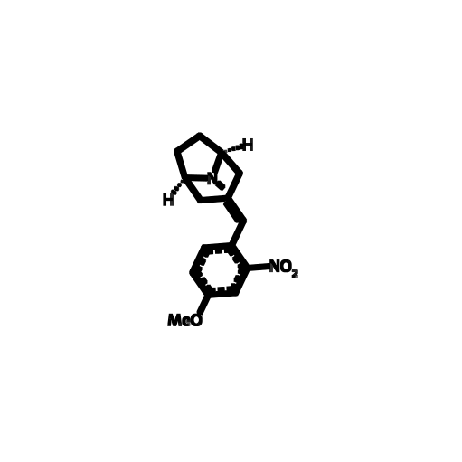 COc1ccc(/C=C2\C[C@H]3CC[C@@H](C2)N3C)c([N+](=O)[O-])c1